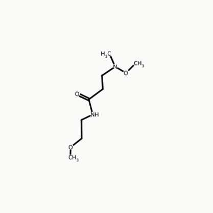 COCCNC(=O)CCN(C)OC